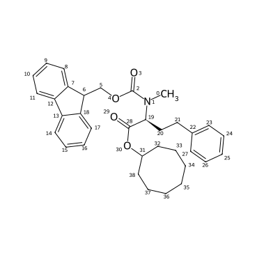 CN(C(=O)OCC1c2ccccc2-c2ccccc21)[C@@H](CCc1ccccc1)C(=O)OC1CCCCCCC1